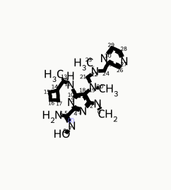 C=Nc1nc(/C(N)=N/O)nc(N[C@H](C)C2CCC2)c1N(C)CN(C)Cc1cnccn1